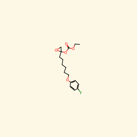 CCOC(=O)OC1(CCCCCCOc2ccc(F)cc2)CO1